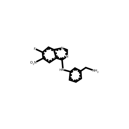 NCc1cccc(Nc2ncnc3cc(F)c([N+](=O)[O-])cc23)c1